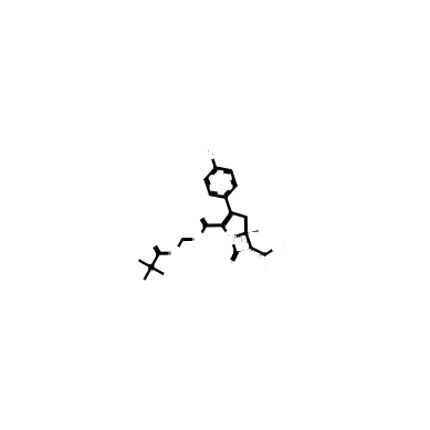 C[C@@H](O)[C@H]1C(=O)N2C(C(=O)OCOC(=O)C(C)(C)C)=C(c3ccc(N)cc3)C[C@H]12